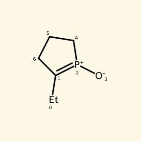 CCC1=[P+]([O-])CCC1